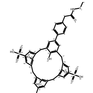 CSNC(=O)Cc1ccc(-c2cc3c(O)c(c2)Cc2cc(S(=O)(=O)O)cc(c2O)Cc2cc(C)cc(c2O)Cc2cc(S(=O)(=O)O)cc(c2O)C3)cc1